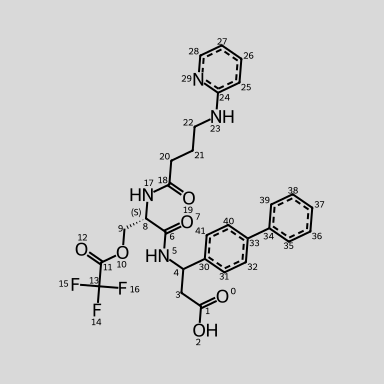 O=C(O)CC(NC(=O)[C@H](COC(=O)C(F)(F)F)NC(=O)CCCNc1ccccn1)c1ccc(-c2ccccc2)cc1